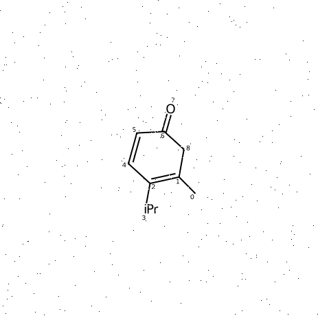 CC1=C(C(C)C)C=CC(=O)C1